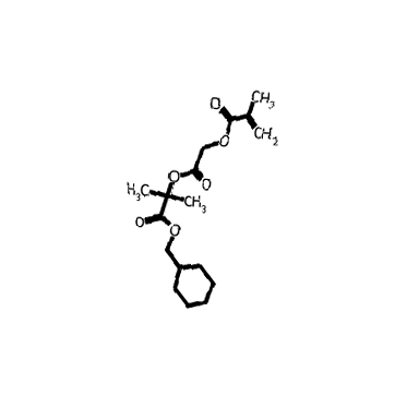 C=C(C)C(=O)OCC(=O)OC(C)(C)C(=O)OCC1CCCCC1